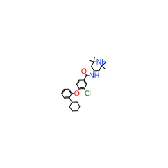 CC1(C)CC(NC(=O)c2ccc(Oc3ccccc3C3CCCCC3)c(Cl)c2)CC(C)(C)N1